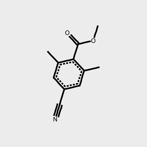 COC(=O)c1c(C)cc(C#N)cc1C